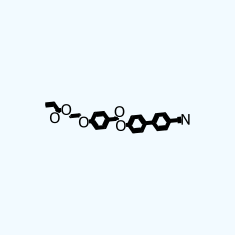 C=CC(=O)OCCOc1ccc(C(=O)Oc2ccc(-c3ccc(C#N)cc3)cc2)cc1